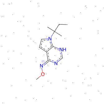 CCC(C)(C)n1ccc2/c(=N/OC)nc[nH]c21